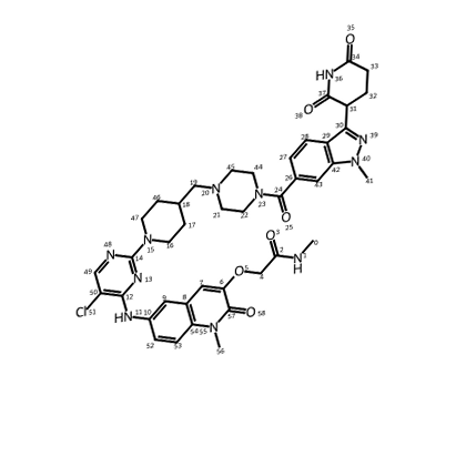 CNC(=O)COc1cc2cc(Nc3nc(N4CCC(CN5CCN(C(=O)c6ccc7c(C8CCC(=O)NC8=O)nn(C)c7c6)CC5)CC4)ncc3Cl)ccc2n(C)c1=O